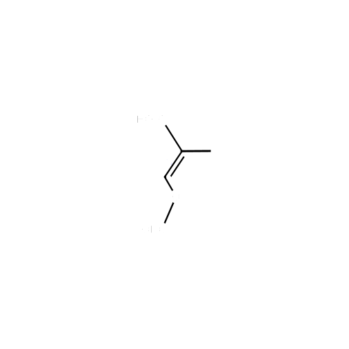 C/C(=C\OC=O)C(=O)O